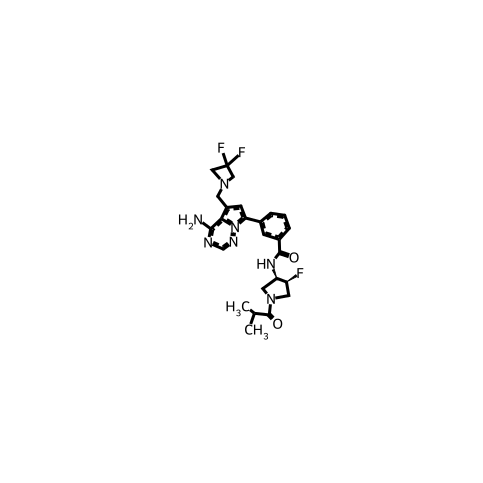 CC(C)C(=O)N1C[C@H](F)[C@H](NC(=O)c2cccc(-c3cc(CN4CC(F)(F)C4)c4c(N)ncnn34)c2)C1